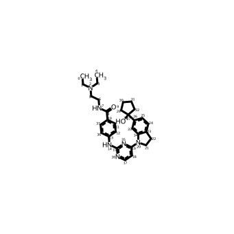 CCN(CC)CCNC(=O)c1ccc(Nc2nccc(N3CCc4ccc(C5(O)CCCC5)cc43)n2)cc1